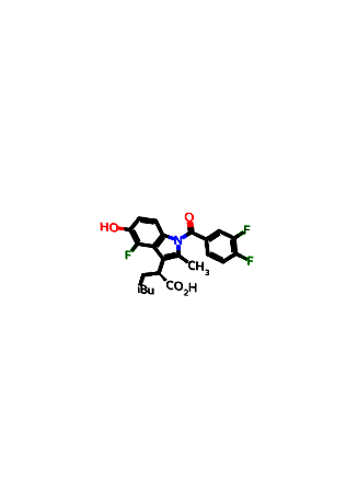 CCC(C)C[C@H](C(=O)O)c1c(C)n(C(=O)c2ccc(F)c(F)c2)c2ccc(O)c(F)c12